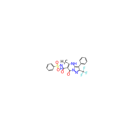 Cc1[nH]c2c(-c3ccccc3)c(C(F)(F)F)nn2c(=O)c1C(=O)NS(=O)(=O)c1ccccc1